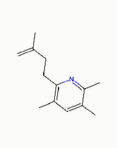 C=C(C)CCc1nc(C)c(C)cc1C